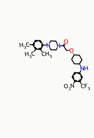 Cc1ccc(N2CCN(C(=O)CO[C@H]3CC[C@H](Nc4ccc([N+](=O)[O-])c(C(F)(F)F)c4)CC3)CC2)c(C)c1C